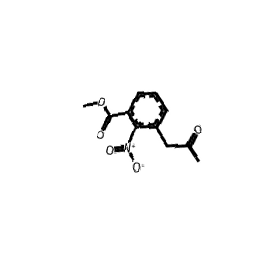 COC(=O)c1cccc(CC(C)=O)c1[N+](=O)[O-]